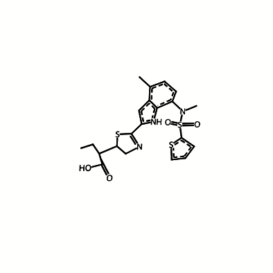 CCC(C(=O)O)C1CN=C(c2cc3c(C)ccc(N(C)S(=O)(=O)c4cccs4)c3[nH]2)S1